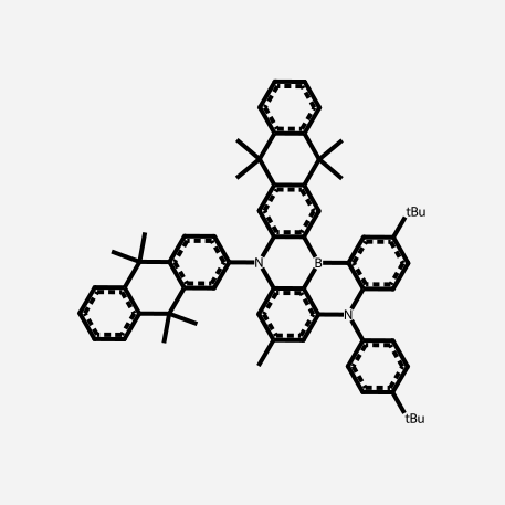 Cc1cc2c3c(c1)N(c1ccc4c(c1)C(C)(C)c1ccccc1C4(C)C)c1cc4c(cc1B3c1cc(C(C)(C)C)ccc1N2c1ccc(C(C)(C)C)cc1)C(C)(C)c1ccccc1C4(C)C